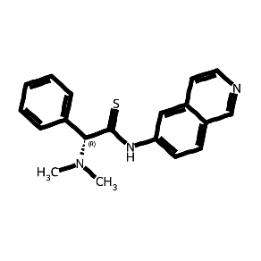 CN(C)[C@@H](C(=S)Nc1ccc2cnccc2c1)c1ccccc1